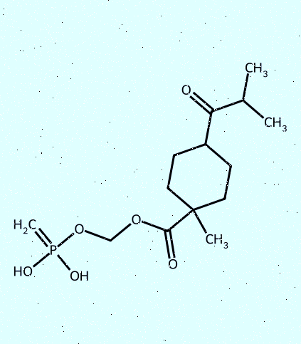 C=P(O)(O)OCOC(=O)C1(C)CCC(C(=O)C(C)C)CC1